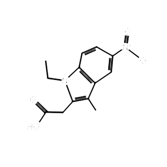 CCn1c(CC(=O)O)c(C)c2cc([N+](=O)[O-])ccc21